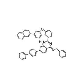 N/C(=N\C(=N/Cc1ccccc1)c1ccc(-c2ccc(-c3ccccc3)cc2)cc1)c1cccc2oc3cc(-c4ccc5ccccc5c4)ccc3c12